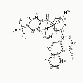 O=Cc1c(N2C[C@@H]3CC[C@H]2[C@H](Nc2ncc(C(F)(F)F)cc2Cl)C3)ccc(F)c1-c1ncccn1